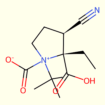 CC[C@]1(C(=O)O)[C@H](C#N)CC[N+]1(C(=O)[O-])C(C)(C)C